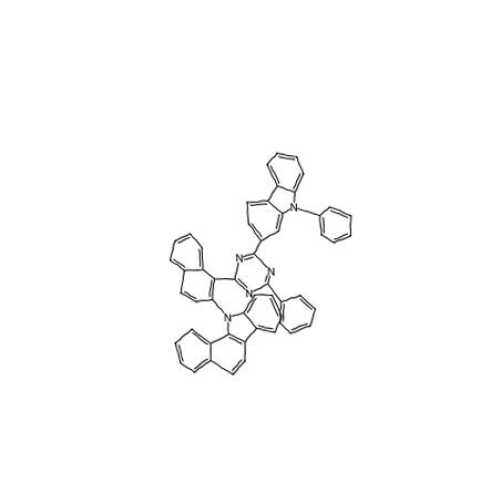 c1ccc(-c2nc(-c3ccc4c5ccccc5n(-c5ccccc5)c4c3)nc(-c3c(-n4c5ccccc5c5ccc6ccccc6c54)ccc4ccccc34)n2)cc1